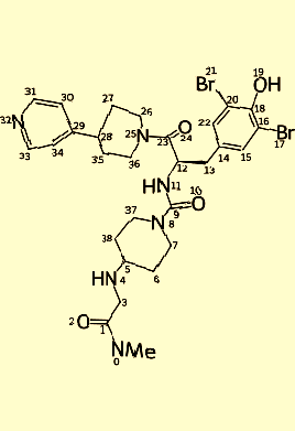 CNC(=O)CNC1CCN(C(=O)N[C@H](Cc2cc(Br)c(O)c(Br)c2)C(=O)N2CCC(c3ccncc3)CC2)CC1